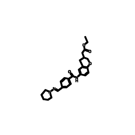 CCOC(=O)CC1COc2ccc(NC(=O)c3ccc(C=NN4CCCCC4)cc3)cc2C1